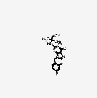 CCn1c(NC(C)(C)CO)nc2c(ncn2Cc2ccc(F)cc2F)c1=O